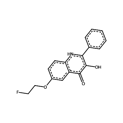 O=c1c(O)c(-c2ccccc2)[nH]c2ccc(OCCF)cc12